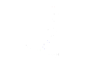 CS(=O)(=O)c1cccc(-c2ccc(-n3cc(C(=O)O)nc3Cc3ccccc3Cl)c(Cl)c2)c1